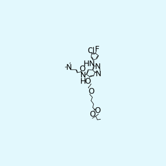 CCC(C)(C)OC(=O)CCCCCOCCOc1cc2ncnc(Nc3ccc(F)c(Cl)c3)c2cc1NC(=O)/C=C/CN(C)C